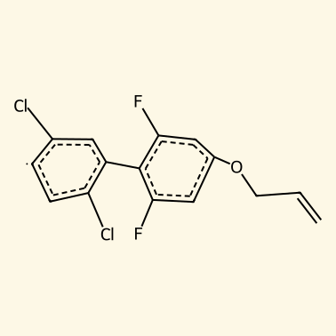 C=CCOc1cc(F)c(-c2cc(Cl)[c]cc2Cl)c(F)c1